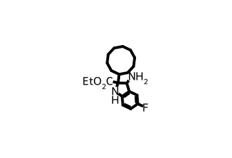 CCOC(=O)C1(C2CCCCCCCCC2)Nc2ccc(F)cc2C1N